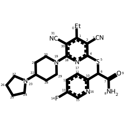 CCc1c(C#N)c(SC(C(N)=O)c2ccc(F)cn2)nc(N2CCC(N3CCCC3)CC2)c1C#N